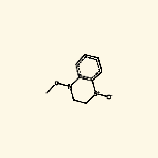 [CH2]ON1CC[S+]([O-])c2ccccc21